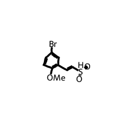 COc1ccc(Br)cc1C=C[SH](=O)=O